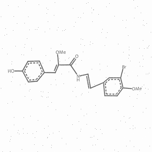 CO/C(=C\c1ccc(O)cc1)C(=O)N/C=C/c1ccc(OC)c(Br)c1